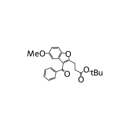 COc1ccc2oc(CCC(=O)OC(C)(C)C)c(C(=O)c3ccccc3)c2c1